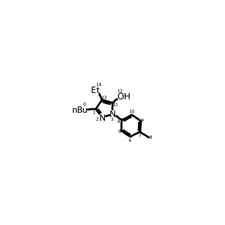 CCCCc1nn(-c2ccc(C)cc2)c(O)c1CC